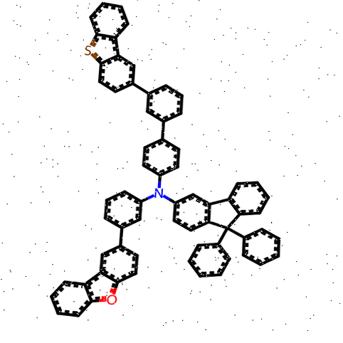 c1ccc(C2(c3ccccc3)c3ccccc3-c3cc(N(c4ccc(-c5cccc(-c6ccc7sc8ccccc8c7c6)c5)cc4)c4cccc(-c5ccc6oc7ccccc7c6c5)c4)ccc32)cc1